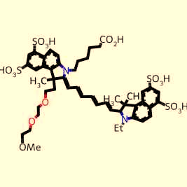 CCN1c2ccc3c(S(=O)(=O)O)cc(S(=O)(=O)O)cc3c2C(C)(C)C1C=CC=CC=CC=C1N(CCCCCC(=O)O)c2ccc3c(S(=O)(=O)O)cc(S(=O)(=O)O)cc3c2C1(C)CCOCCOCCOC